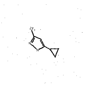 FC(F)(F)C1=N[N]C(C2CC2)=C1